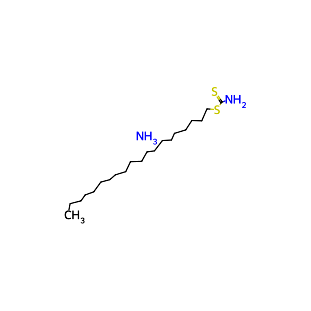 CCCCCCCCCCCCCCCCCCCCSC(N)=S.N